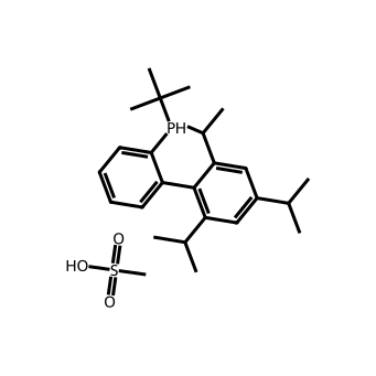 CC(C)c1cc(C(C)C)c(-c2ccccc2PC(C)(C)C)c(C(C)C)c1.CS(=O)(=O)O